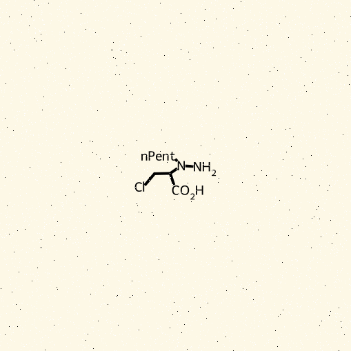 CCCCCN(N)C(CCl)C(=O)O